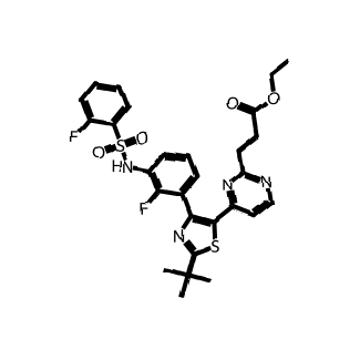 CCOC(=O)CCc1nccc(-c2sc(C(C)(C)C)nc2-c2cccc(NS(=O)(=O)c3ccccc3F)c2F)n1